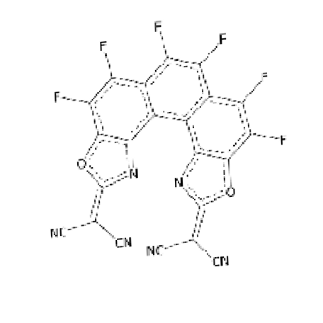 N#CC(C#N)=c1nc2c(o1)c(F)c(F)c1c(F)c(F)c3c(F)c(F)c4oc(=C(C#N)C#N)nc4c3c12